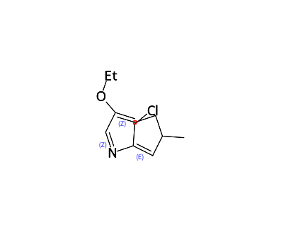 CCOC1=C\CC(C)/C=C(CCl)/N=C\1